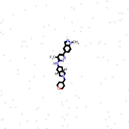 Cn1ncc2cc(-c3cc(C(F)(F)F)c(NC4C[C@@H]5CN(CC6CCOCC6)C[C@@H]5C4)nn3)ccc21